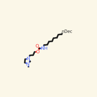 CCCCCCCCCCCCCCCCCCNC(=O)OCCCN1CCN(C)C1